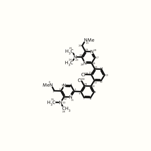 CNCc1ncc(-c2cccc(-c3cccc(-c4cnc(CNC)c(N(C)C)n4)c3Cl)c2Cl)nc1N(C)C